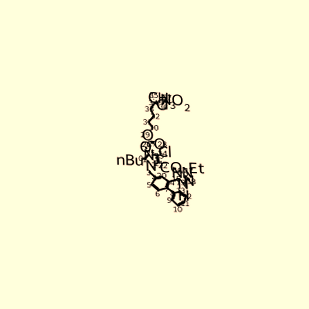 CCCCC1N(Cc2ccc(-c3ccccc3)c(-c3nnn[nH]3)c2)C(C(=O)OCC)=C(Cl)N1OC(=O)OCCCC[C@H](C)O[N+](=O)[O-]